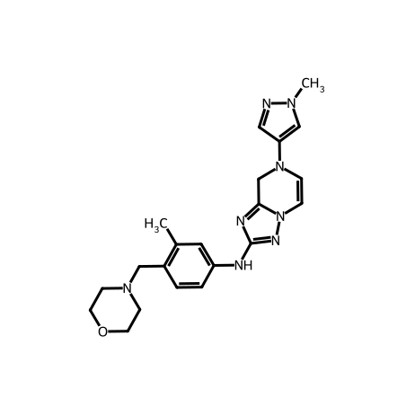 Cc1cc(Nc2nc3n(n2)C=CN(c2cnn(C)c2)C3)ccc1CN1CCOCC1